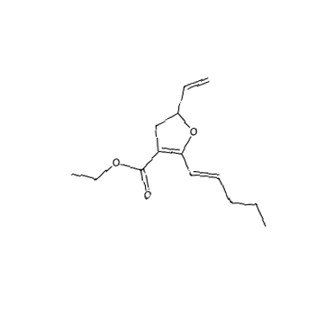 C=CC1CC(C(=O)OCC)=C(C=CCCC)O1